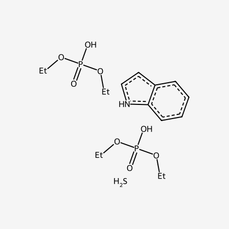 CCOP(=O)(O)OCC.CCOP(=O)(O)OCC.S.c1ccc2[nH]ccc2c1